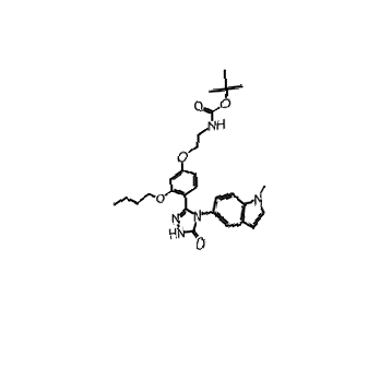 CCCCOc1cc(OCCNC(=O)OC(C)(C)C)ccc1-c1n[nH]c(=O)n1-c1ccc2c(ccn2C)c1